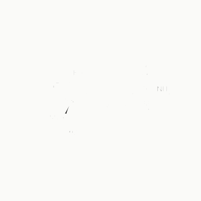 CCOC(=O)[C@@H]1[C@@H](c2ccc(S(N)(=O)=O)cc2)C1(F)F